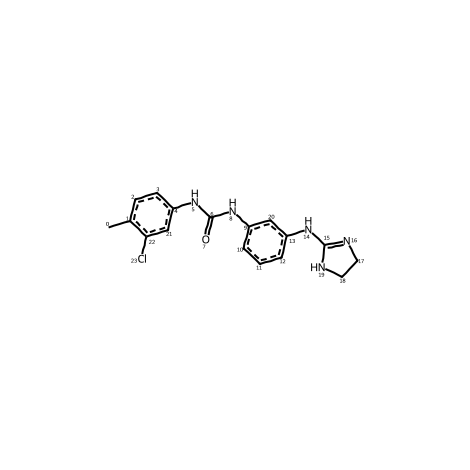 Cc1ccc(NC(=O)Nc2cccc(NC3=NCCN3)c2)cc1Cl